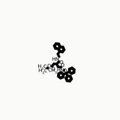 CC(C)(C)OC(=O)CC(CC(=O)NOC(c1ccccc1)(c1ccccc1)c1ccccc1)C(=O)NCCc1cccc2ccccc12